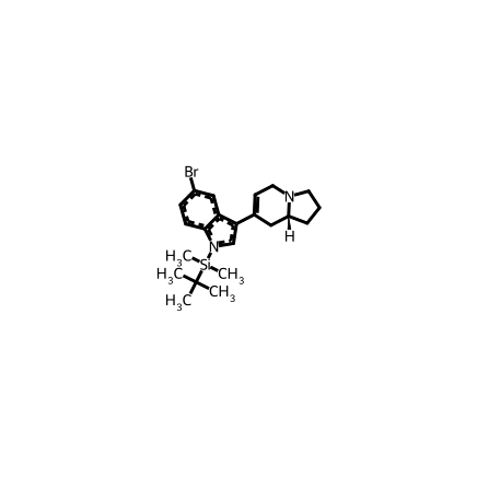 CC(C)(C)[Si](C)(C)n1cc(C2=CCN3CCC[C@@H]3C2)c2cc(Br)ccc21